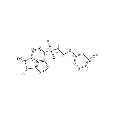 CCN1C(=O)c2cccc3c(S(=O)(=O)NCCc4cccc(Cl)c4)ccc1c23